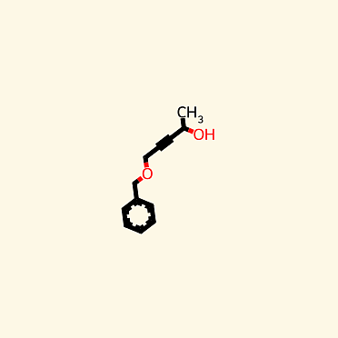 CC(O)C#CCOCc1ccccc1